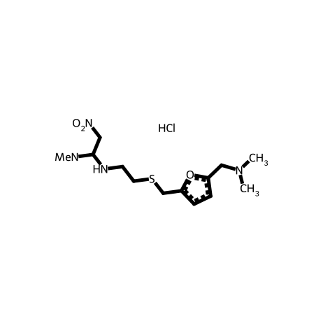 CNC(C[N+](=O)[O-])NCCSCc1ccc(CN(C)C)o1.Cl